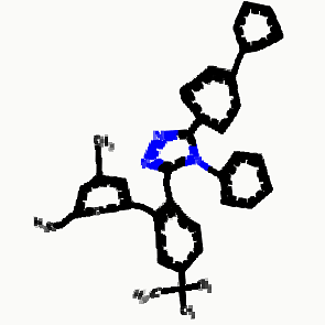 Cc1cc(C)cc(-c2cc(C(C)(C)C)ccc2-c2nnc(-c3ccc(-c4ccccc4)cc3)n2-c2ccccc2)c1